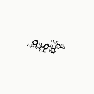 C=C(Nc1ccccc1N)C(=O)c1ccc(Oc2nccnc2N2CC(=O)N[C@H](C)C2)cc1